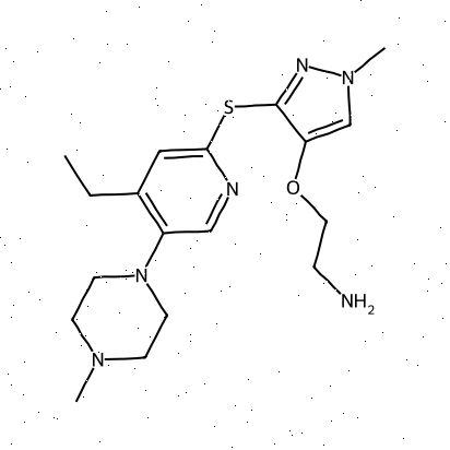 CCc1cc(Sc2nn(C)cc2OCCN)ncc1N1CCN(C)CC1